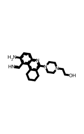 N=Cc1c(N)ccc2nc(N3CCN(CCO)CC3)c3c(c12)CCCC3